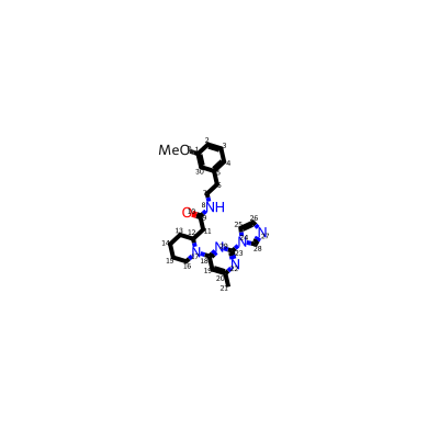 COc1cccc(CCNC(=O)CC2CCCCN2c2cc(C)nc(-n3ccnc3)n2)c1